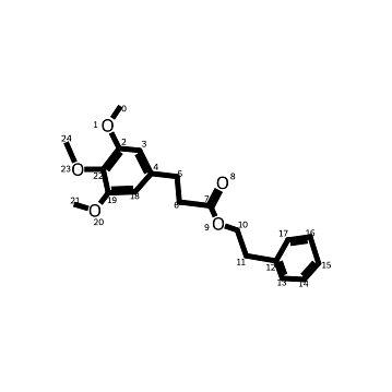 COc1cc(CCC(=O)OCCc2ccccc2)cc(OC)c1OC